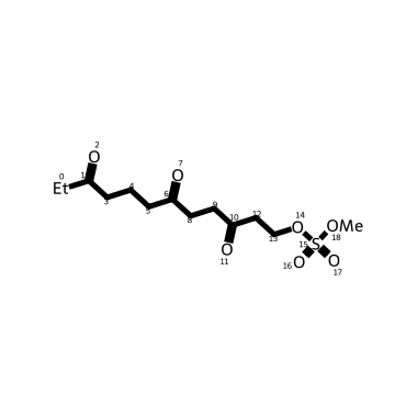 CCC(=O)CCCC(=O)CCC(=O)CCOS(=O)(=O)OC